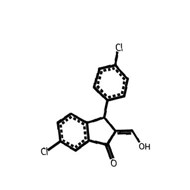 O=C1C(=CO)C(c2ccc(Cl)cc2)c2ccc(Cl)cc21